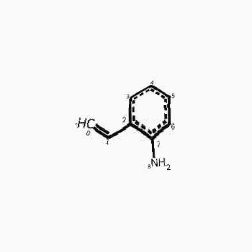 [CH]=Cc1ccccc1N